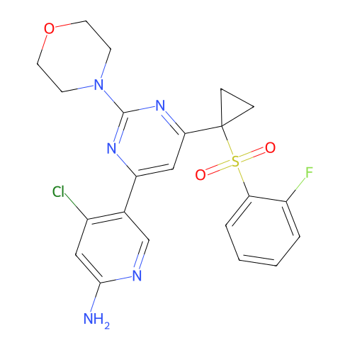 Nc1cc(Cl)c(-c2cc(C3(S(=O)(=O)c4ccccc4F)CC3)nc(N3CCOCC3)n2)cn1